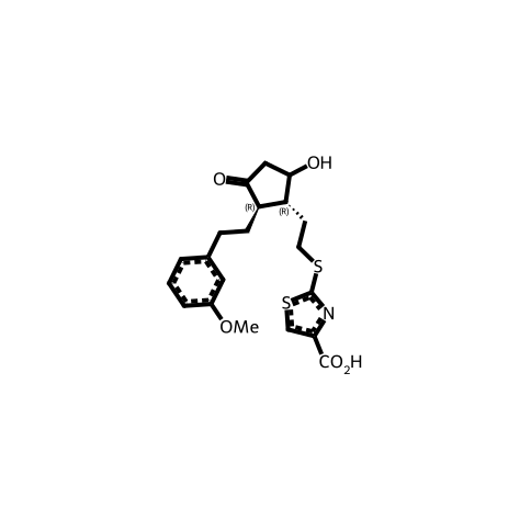 COc1cccc(CC[C@H]2C(=O)CC(O)[C@@H]2CCSc2nc(C(=O)O)cs2)c1